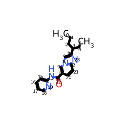 CCCC(CC)c1cn2cc(C(=O)Nc3ccccn3)ccc2n1